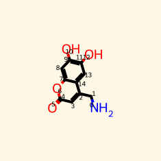 NCc1cc(=O)oc2cc(O)c(O)cc12